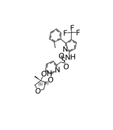 Cc1ccccc1-c1nc(NS(=O)(=O)c2cccc(O[C@@H]3COC[C@]3(C)O)n2)ccc1C(F)(F)F